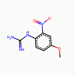 COc1ccc(NC(=N)N)c([N+](=O)[O-])c1